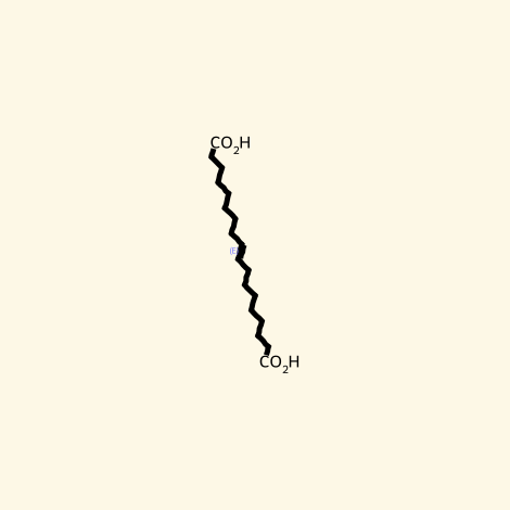 O=C(O)CCCCCCC/C=C/CCCCCCCC(=O)O